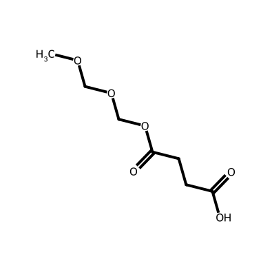 COCOCOC(=O)CCC(=O)O